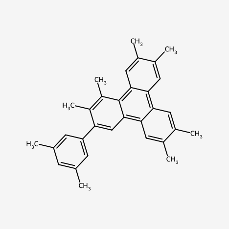 Cc1cc(C)cc(-c2cc3c4cc(C)c(C)cc4c4cc(C)c(C)cc4c3c(C)c2C)c1